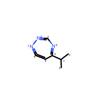 CC(C)C1=NC=NN=C=C1